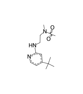 CN(CCNc1cc(C(C)(C)C)ccn1)S(C)(=O)=O